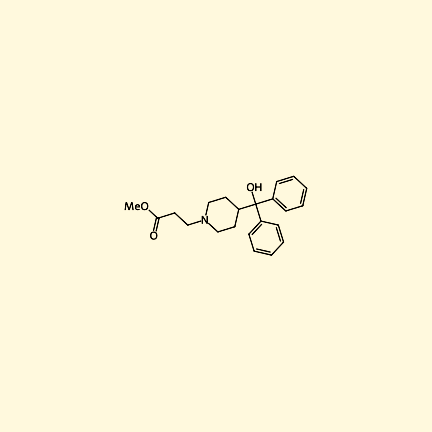 COC(=O)CCN1CCC(C(O)(c2ccccc2)c2ccccc2)CC1